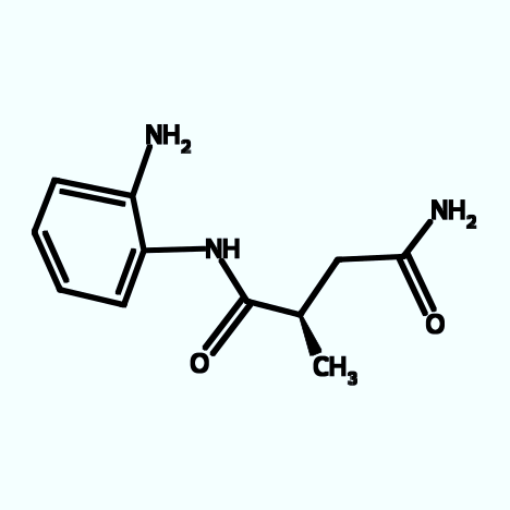 C[C@H](CC(N)=O)C(=O)Nc1ccccc1N